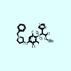 CC(C)(C)OC(=O)C(c1cscn1)S(=O)(=O)c1c(F)cc(O[C@H]2CCN(Cc3ccccc3)C2)c(Cl)c1F